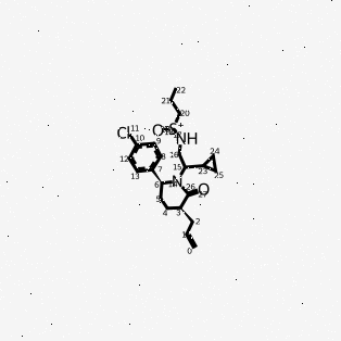 C=CC[C@H]1CC[C@@H](c2ccc(Cl)cc2)N(C(CN[S+]([O-])CCC)C2CC2)C1=O